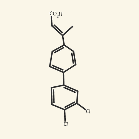 CC(=CC(=O)O)c1ccc(-c2ccc(Cl)c(Cl)c2)cc1